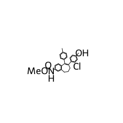 COC(=O)Nc1ccc2c(c1)CCCC(c1ccc(O)cc1Cl)=C2c1ccc(C)cc1